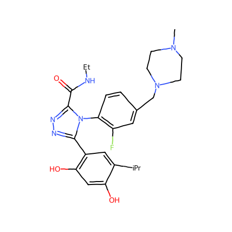 CCNC(=O)c1nnc(-c2cc(C(C)C)c(O)cc2O)n1-c1ccc(CN2CCN(C)CC2)cc1F